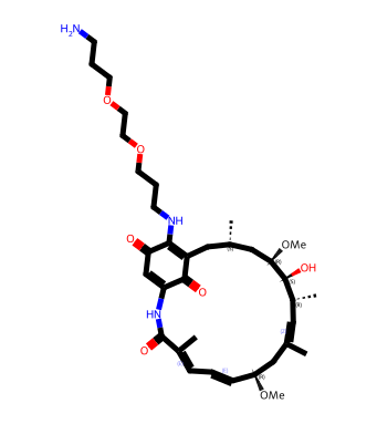 CO[C@@H]1[CH]/C(C)=C\[C@@H](C)[C@H](O)[C@H](OC)C[C@@H](C)CC2=C(NCCCOCCOCCCN)C(=O)C=C(NC(=O)/C(C)=C/C=C/1)C2=O